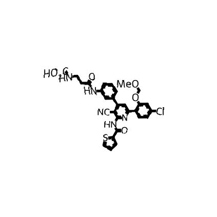 COCOc1cc(Cl)ccc1-c1cc(-c2cccc(NC(=O)CCNC(=O)O)c2)c(C#N)c(NC(=O)c2cccs2)n1